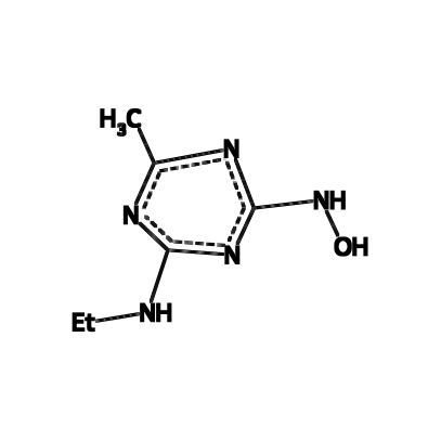 CCNc1nc(C)nc(NO)n1